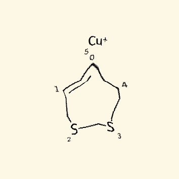 C1=CSSC1.[Cu+]